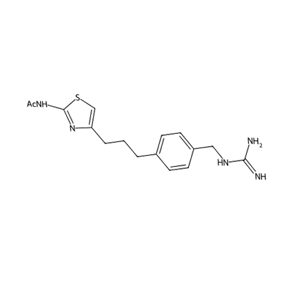 CC(=O)Nc1nc(CCCc2ccc(CNC(=N)N)cc2)cs1